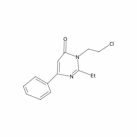 CCc1nc(-c2ccccc2)cc(=O)n1CCCl